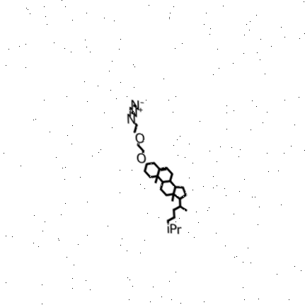 CC(C)CCCC(C)C1CCC2C3CC=C4CC(OCCOCCN=[N+]=[N-])CCC4(C)C3CCC12C